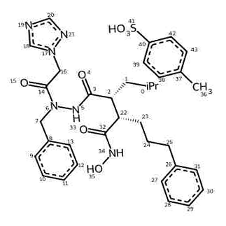 CC(C)C[C@@H](C(=O)NN(Cc1ccccc1)C(=O)Cn1cncn1)[C@H](CCCc1ccccc1)C(=O)NO.Cc1ccc(S(=O)(=O)O)cc1